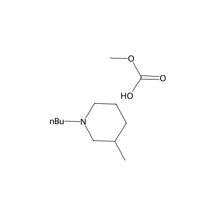 CCCCN1CCCC(C)C1.COC(=O)O